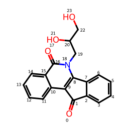 O=C1c2ccccc2-c2c1c1ccccc1c(=O)n2CC(O)CO